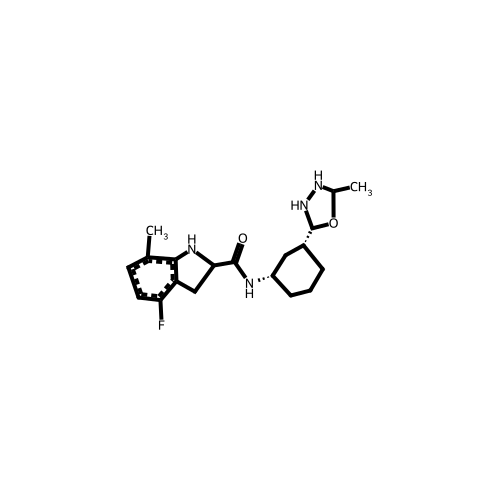 Cc1ccc(F)c2c1NC(C(=O)N[C@H]1CCC[C@@H](C3NNC(C)O3)C1)C2